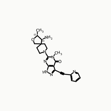 C[C@@H]1OCC2(CCN(c3nc4[nH]nc(C#Cc5ccccn5)c4c(=O)n3C)CC2)[C@@H]1N